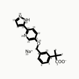 CC(C)(C(=O)[O-])c1cccc(COc2ccc(-c3ccn[nH]3)nc2)c1.[Na+]